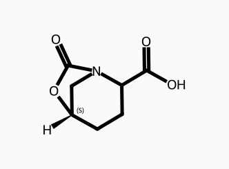 O=C(O)C1CC[C@H]2CN1C(=O)O2